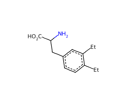 CCc1ccc(CC(N)C(=O)O)cc1CC